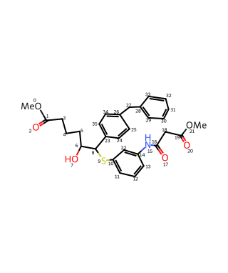 COC(=O)CCCC(O)C(Sc1cccc(NC(=O)CC(=O)OC)c1)c1ccc(Cc2ccccc2)cc1